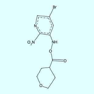 O=C(ONc1cc(Br)cnc1[N+](=O)[O-])C1CCOCC1